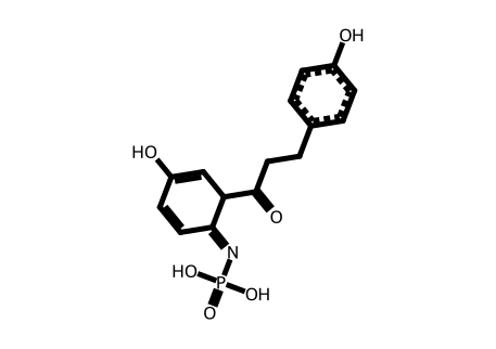 O=C(CCc1ccc(O)cc1)C1C=C(O)C=CC1=NP(=O)(O)O